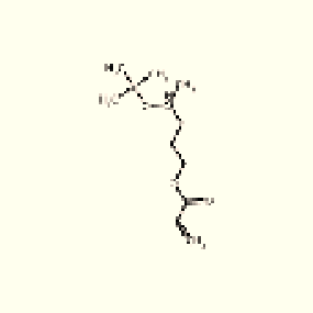 C=CC(=O)OCCC[SiH](C)O[Si](C)(C)C